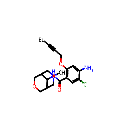 CCC#CCOc1cc(N)c(Cl)cc1C(=O)NC1C2COCC1CN(C)C2